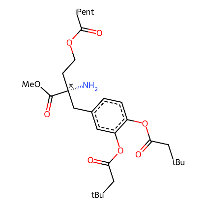 CCCC(C)C(=O)OCC[C@@](N)(Cc1ccc(OC(=O)CC(C)(C)C)c(OC(=O)CC(C)(C)C)c1)C(=O)OC